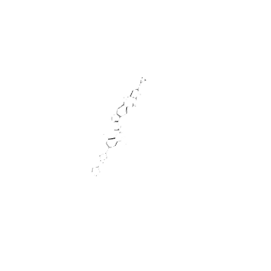 COc1cc2c(NS(=O)(=O)c3c(OC)cc(C4CN(C5CCOC5)C4)cc3OC)noc2cc1Nc1cc(C2CC2)n[nH]1